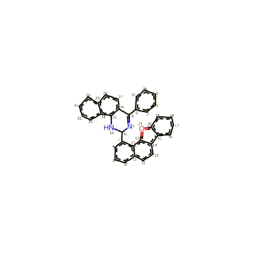 c1ccc(C2=NC(c3cccc4ccc5c6ccccc6oc5c34)Nc3c2ccc2ccccc32)cc1